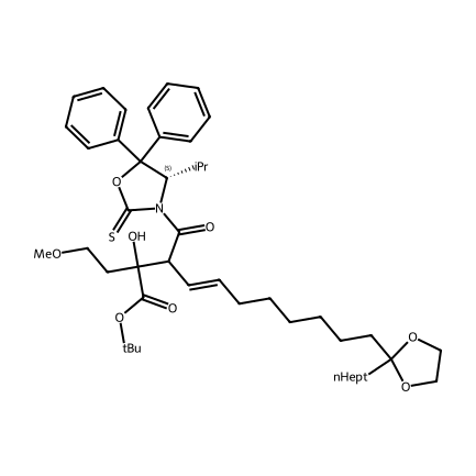 CCCCCCCC1(CCCCCCC=CC(C(=O)N2C(=S)OC(c3ccccc3)(c3ccccc3)[C@@H]2C(C)C)C(O)(CCOC)C(=O)OC(C)(C)C)OCCO1